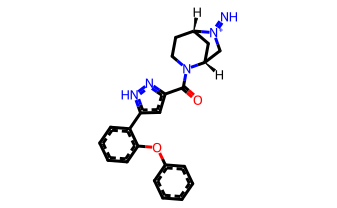 N=[N+]1C[C@H]2C[C@@H]1CCN2C(=O)c1cc(-c2ccccc2Oc2ccccc2)[nH]n1